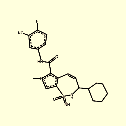 Cn1cc2c(c1C(=O)Nc1ccc(F)c(C#N)c1)C=CC(C1CCCCC1)NS2(=N)=O